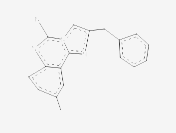 Nc1nc2ccc(F)cc2c2nc(Cc3ccccc3)cn12